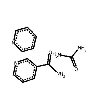 NC(=O)c1cccnc1.NC(N)=O.c1ccncc1